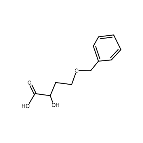 O=C(O)C(O)CCOCc1ccccc1